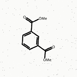 COC(=O)c1[c]ccc(C(=O)OC)c1